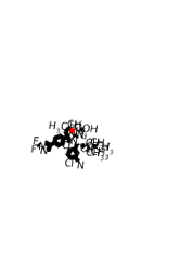 CC(C)(C)CC1(c2ccc(-c3cnn(C(F)F)c3)cc2)NC(=NC(=O)O)N([C@H](CO[Si](C)(C)C(C)(C)C)c2ccc(Cl)c(C#N)c2)C1=O